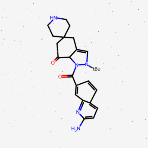 CC(C)(C)N1C=C2CC3(CCNCC3)CC(=O)C2N1C(=O)c1ccc2ccc(N)nc2c1